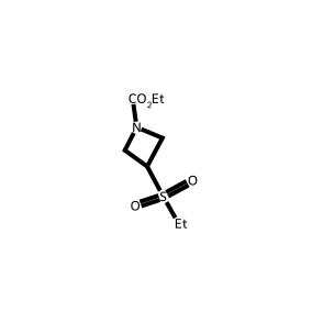 CCOC(=O)N1CC(S(=O)(=O)CC)C1